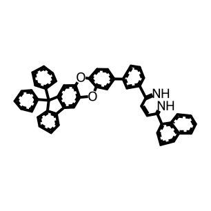 N=C(/C=C\C(=N)c1cccc2ccccc12)c1cccc(-c2ccc3c(c2)Oc2cc4c(cc2O3)C(c2ccccc2)(c2ccccc2)c2ccccc2-4)c1